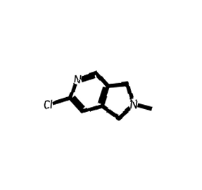 CN1Cc2cnc(Cl)cc2C1